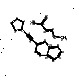 C(#CC1CCCC1)c1ccc2ccccc2c1.COC=CC(=O)O